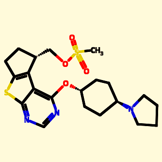 CS(=O)(=O)OC[C@H]1CCc2sc3ncnc(O[C@H]4CC[C@H](N5CCCC5)CC4)c3c21